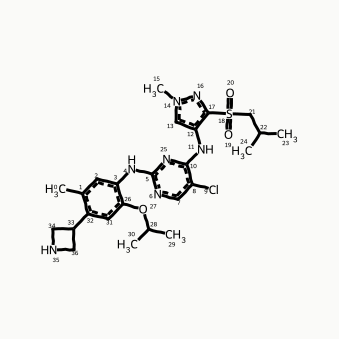 Cc1cc(Nc2ncc(Cl)c(Nc3cn(C)nc3S(=O)(=O)CC(C)C)n2)c(OC(C)C)cc1C1CNC1